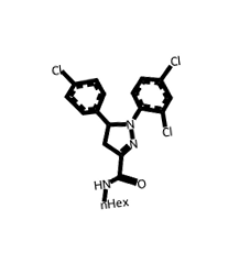 CCCCCCNC(=O)C1=NN(c2ccc(Cl)cc2Cl)C(c2ccc(Cl)cc2)C1